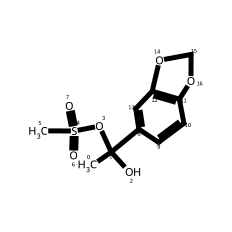 CC(O)(OS(C)(=O)=O)c1ccc2c(c1)OCO2